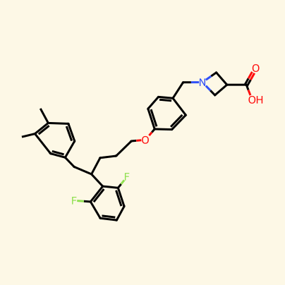 Cc1ccc(CC(CCCOc2ccc(CN3CC(C(=O)O)C3)cc2)c2c(F)cccc2F)cc1C